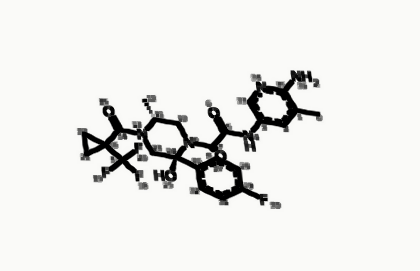 Cc1cc(NC(=O)C(=O)N2C[C@@H](C)N(C(=O)C3(C(F)(F)F)CC3)C[C@@]2(O)c2ccc(F)cc2)cnc1N